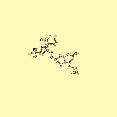 COCc1cc(=O)oc2cc(OCc3cc(C(F)(F)F)nn3C3=CC=CCC3Cl)ccc12